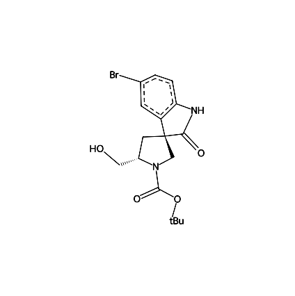 CC(C)(C)OC(=O)N1C[C@]2(C[C@H]1CO)C(=O)Nc1ccc(Br)cc12